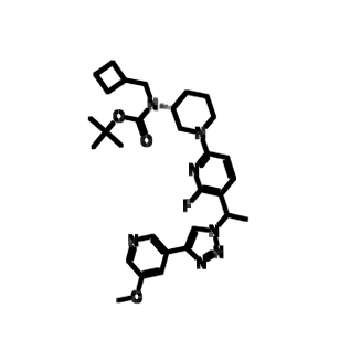 COc1cncc(-c2cn(C(C)c3ccc(N4CCC[C@@H](N(CC5CCC5)C(=O)OC(C)(C)C)C4)nc3F)nn2)c1